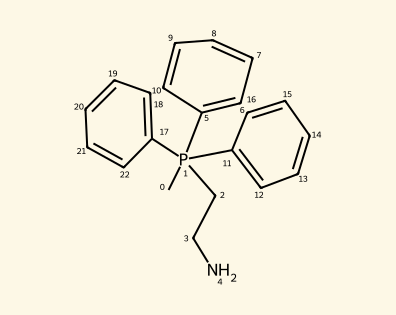 CP(CCN)(c1ccccc1)(c1ccccc1)c1ccccc1